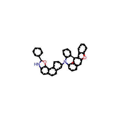 c1ccc(C2Nc3ccc4ccc5cc(N(c6ccccc6)c6ccccc6-c6cccc7oc8ccccc8c67)ccc5c4c3O2)cc1